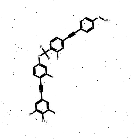 CCCCOc1ccc(C#Cc2ccc(C(F)(F)Oc3ccc(C#Cc4cc(F)c(C(F)(F)F)c(F)c4)c(F)c3)c(F)c2)cc1